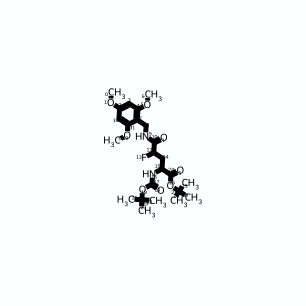 COc1cc(OC)c(CNC(=O)C(F)CC(NC(=O)OC(C)(C)C)C(=O)OC(C)(C)C)c(OC)c1